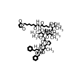 CC[C@H](C)[C@@H]([C@@H](CC(=O)N1CCC[C@H]1[C@H](OC)[C@@H](C)C(=O)NC(CCc1ccccc1)S(=O)(=O)Cc1ccccc1)OC)N(C)C(=O)[C@@H](NC(=O)[C@H](C(C)C)N(C)CCCC(=O)NNC(=O)CCCCCN1C(=O)C=CC1=O)C(C)C